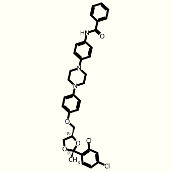 C[C@@]1(c2ccc(Cl)cc2Cl)OC[C@@H](COc2ccc(N3CCN(c4ccc(NC(=O)c5ccccc5)cc4)CC3)cc2)O1